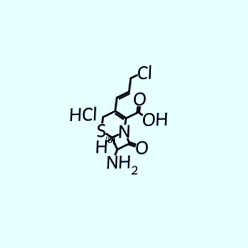 Cl.NC1C(=O)N2C(C(=O)O)=C(C=CCCl)CS[C@@H]12